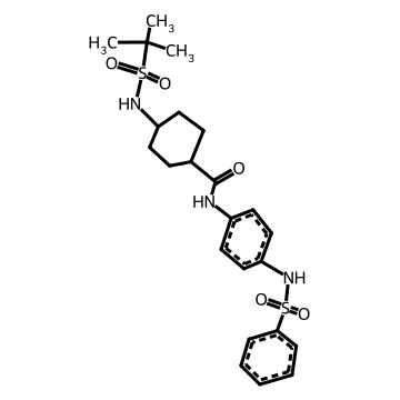 CC(C)(C)S(=O)(=O)NC1CCC(C(=O)Nc2ccc(NS(=O)(=O)c3ccccc3)cc2)CC1